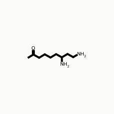 CC(=O)CCCCC(N)CCN